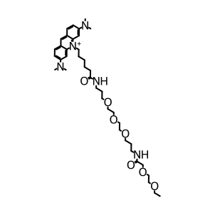 CCOCCOCC(=O)NCCCOCCOCCOCCCNC(=O)CCCCC[n+]1c2cc(N(C)C)ccc2cc2ccc(N(C)C)cc21